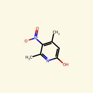 Cc1cc(O)nc(C)c1[N+](=O)[O-]